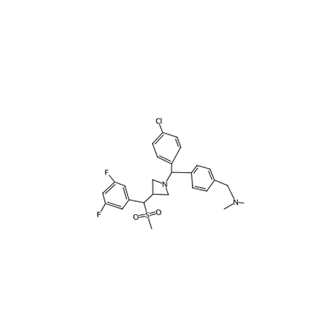 CN(C)Cc1ccc(C(c2ccc(Cl)cc2)N2CC(C(c3cc(F)cc(F)c3)S(C)(=O)=O)C2)cc1